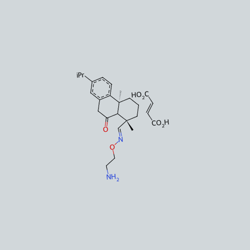 CC(C)c1ccc2c(c1)CC(=O)C1[C@@](C)(/C=N/OCCN)CCC[C@]21C.O=C(O)/C=C/C(=O)O